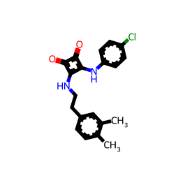 Cc1ccc(CCNc2c(Nc3ccc(Cl)cc3)c(=O)c2=O)cc1C